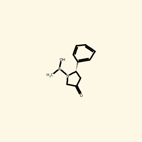 CB(O)N1CC(=O)C[C@H]1c1ccccc1